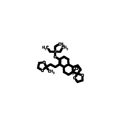 CC[Si](CC)(CC)OC1=C(CCC2(C)OCCO2)C2CC[C@]3(C)C(CCC34OCCO4)C2CC1